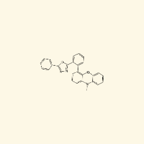 CN1c2ccccc2Oc2c(-c3ccccc3-c3nnc(-c4ccccc4)o3)cccc21